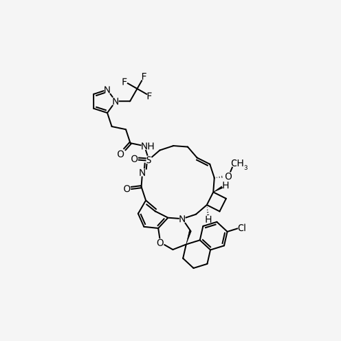 CO[C@H]1/C=C/CCCS(=O)(NC(=O)CCc2ccnn2CC(F)(F)F)=NC(=O)c2ccc3c(c2)N(C[C@@H]2CC[C@H]21)C[C@@]1(CCCc2cc(Cl)ccc21)CO3